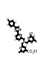 CCOC(=O)c1cc(C)nc(CN(Cc2cccc(-c3ncc(-c4ccc(C)cc4)s3)n2)Cc2cc(C)cc(C(F)(F)F)n2)c1